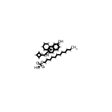 CCCCCCCCCCCCOS(=O)(=O)O.Oc1ccc2c(c1)[C@@]13CCCC[C@@]1(O)[C@@H](C2)N(CC1CCC1)CC3